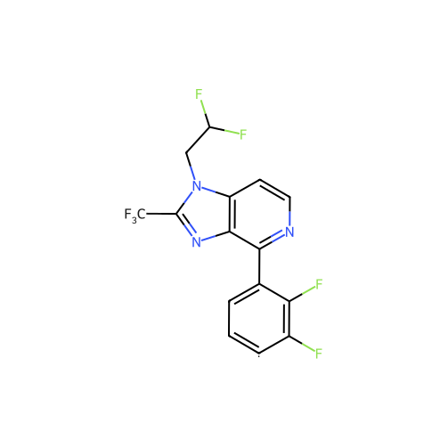 Fc1[c]ccc(-c2nccc3c2nc(C(F)(F)F)n3CC(F)F)c1F